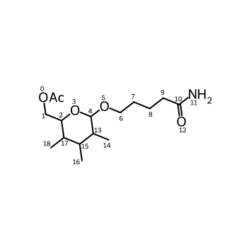 CC(=O)OCC1OC(OCCCCC(N)=O)C(C)C(C)C1C